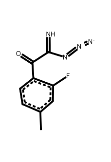 Cc1ccc(C(=O)C(=N)N=[N+]=[N-])c(F)c1